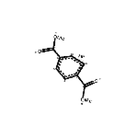 COC(=O)c1ccc(C(=O)OC)cc1.F